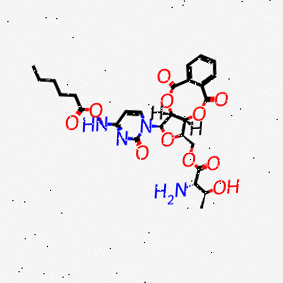 CCCCCC(=O)ONc1ccn([C@@H]2O[C@H](COC(=O)[C@@H](N)[C@H](C)O)[C@H]3OC(=O)c4ccccc4C(=O)O[C@H]32)c(=O)n1